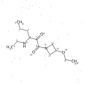 CCCC(NCC)C(=O)C(=O)N1CC(OCC)C1